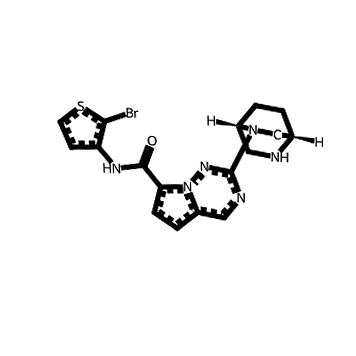 O=C(Nc1ccsc1Br)c1ccc2cnc(N3C[C@@H]4CC[C@H]3CN4)nn12